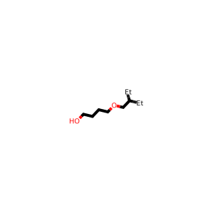 CCC(CC)COCCCCO